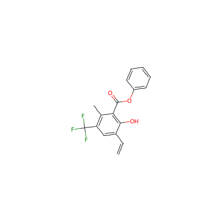 C=Cc1cc(C(F)(F)F)c(C)c(C(=O)Oc2ccccc2)c1O